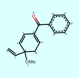 C=CC1(OC)C=CC(C(=O)c2ccccc2)=CC1